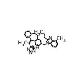 CCCc1nc2c(C)cccc2n1Cc1ccc2c(c1)CCc1ccccc1/C2=C(\C)c1nnn[nH]1